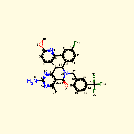 COc1cccc(-c2cc(F)ccc2C2Cc3nc(N)nc(C)c3C(=O)N2Cc2cccc(C(F)(F)F)c2)n1